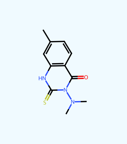 Cc1ccc2c(=O)n(N(C)C)c(=S)[nH]c2c1